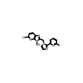 CCCn1c(Cn2ccnc2-c2cccc(F)n2)nc2ccc(Cl)nc21